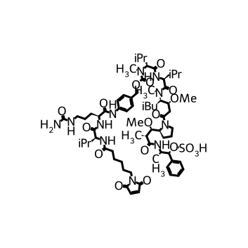 CC[C@H](C)[C@@H]([C@@H](CC(=O)N1CCC[C@H]1[C@H](OC)[C@@H](C)C(=O)N[C@H](C)[C@@H](OS(=O)(=O)O)c1ccccc1)OC)N(C)C(=O)[C@@H](NC(=O)[C@H](C(C)C)N(C)C(=O)OCc1ccc(NC(=O)[C@H](CCCNC(N)=O)NC(=O)[C@@H](NC(=O)CCCCCN2C(=O)C=CC2=O)C(C)C)cc1)C(C)C